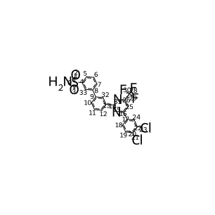 NS(=O)(=O)c1cccc(-c2cccc(-c3nc(-c4ccc(Cl)c(Cl)c4)cc(C(F)(F)F)n3)c2)c1